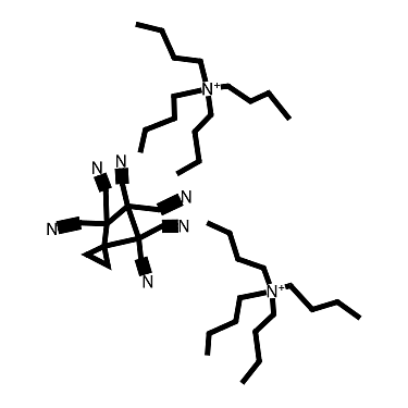 CCCC[N+](CCCC)(CCCC)CCCC.CCCC[N+](CCCC)(CCCC)CCCC.N#CC1(C#N)C(C#N)(C#N)C2(CC2)C1(C#N)C#N